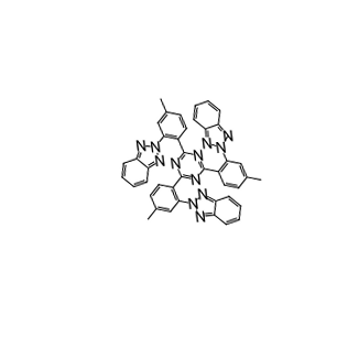 Cc1ccc(-c2nc(-c3ccc(C)cc3-n3nc4ccccc4n3)nc(-c3ccc(C)cc3-n3nc4ccccc4n3)n2)c(-n2nc3ccccc3n2)c1